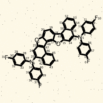 Fc1ccc(N(c2ccc(F)cc2)c2cc3oc4c(ccc5oc6cc(N(c7ccc(F)cc7)c7ccc(F)cc7)c7ccccc7c6c54)c3c3ccccc23)cc1